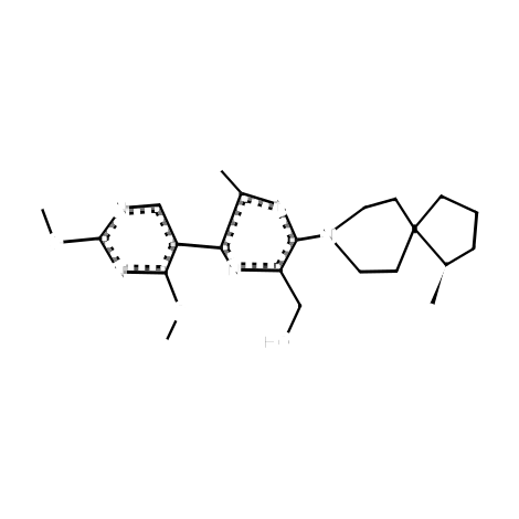 COc1ncc(-c2nc(CO)c(N3CCC4(CCC[C@H]4C)CC3)nc2C)c(OC)n1